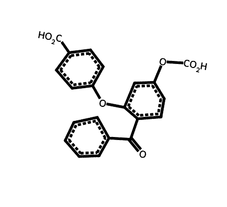 O=C(O)Oc1ccc(C(=O)c2ccccc2)c(Oc2ccc(C(=O)O)cc2)c1